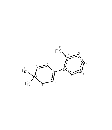 OC1(O)C=CC(c2ccccc2C(F)(F)F)=CC1